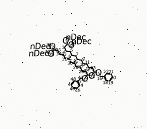 CCCCCCCCCCOC(CCCCCCCCCC=CC(OCc1ccccc1)OC(C=CCCCCCCCCCC(OCCCCCCCCCC)OCCCCCCCCCC)OCc1ccccc1)OCCCCCCCCCC